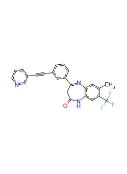 Cc1cc2c(cc1C(F)(F)F)NC(=O)CC(c1cccc(C#Cc3cccnc3)c1)=N2